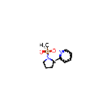 CS(=O)(=O)N1CCC[C@@H]1c1ccccn1